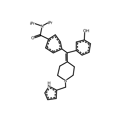 CC(C)N(C(=O)c1ccc(C(=C2CCN(Cc3ccc[nH]3)CC2)c2cccc(O)c2)cc1)C(C)C